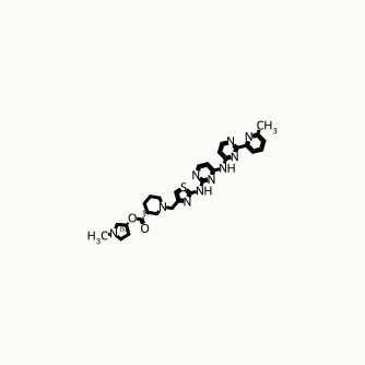 Cc1cccc(-c2nccc(Nc3ccnc(Nc4nc(CN5CCC[C@@H](C(=O)O[C@H]6CCN(C)C6)C5)cs4)n3)n2)n1